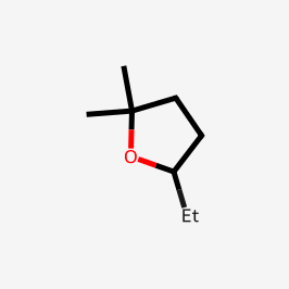 CCC1CCC(C)(C)O1